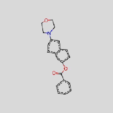 O=C(Oc1ccc2cc(N3CCOCC3)ccc2c1)c1ccccc1